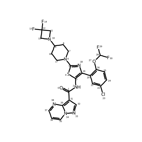 O=C(Nc1sc(N2CCC(N3CC(F)(F)C3)CC2)nc1-c1cc(Cl)ccc1OC(F)F)c1cnn2cccnc12